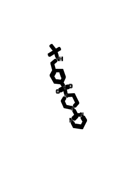 CC(C)(C)NCc1ccc(S(=O)(=O)N2CCN(c3ncccn3)CC2)cc1